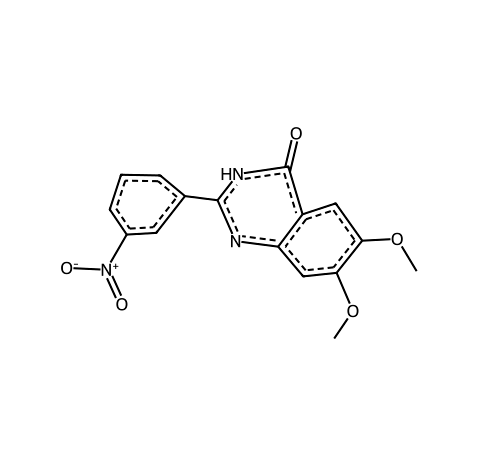 COc1cc2nc(-c3cccc([N+](=O)[O-])c3)[nH]c(=O)c2cc1OC